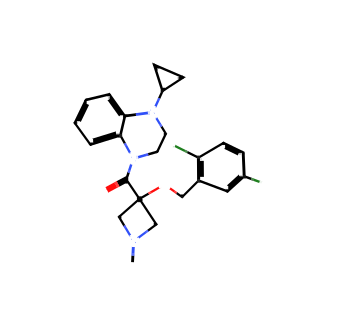 CN1CC(OCc2cc(Cl)ccc2Cl)(C(=O)N2CCN(C3CC3)c3ccccc32)C1